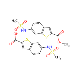 COC(=O)c1cc2ccc(NS(C)(=O)=O)cc2s1.CS(=O)(=O)Nc1ccc2cc(C(=O)O)sc2c1